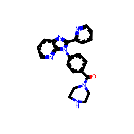 O=C(c1ccc(-n2c(-c3ccccn3)nc3cccnc32)cc1)N1CCNCC1